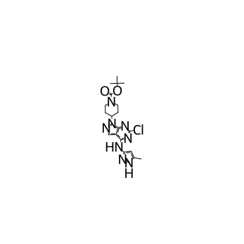 Cc1cc(Nc2nc(Cl)nc3c2cnn3C2CCN(C(=O)OC(C)(C)C)CC2)n[nH]1